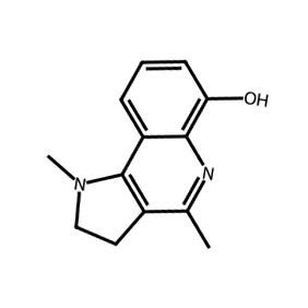 Cc1nc2c(O)cccc2c2c1CCN2C